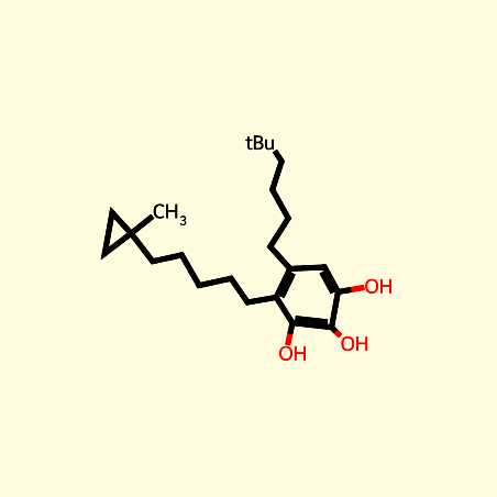 CC(C)(C)CCCCc1cc(O)c(O)c(O)c1CCCCCC1(C)CC1